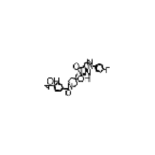 O=C(c1ccc(C2(O)CC2)cc1)N1CCC(O)(Cn2cnc3c(cnn3-c3ccc(F)cc3)c2=O)CC1